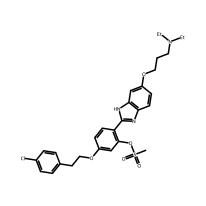 CCN(CC)CCCOc1ccc2nc(-c3ccc(OCCc4ccc(Cl)cc4)cc3OS(C)(=O)=O)[nH]c2c1